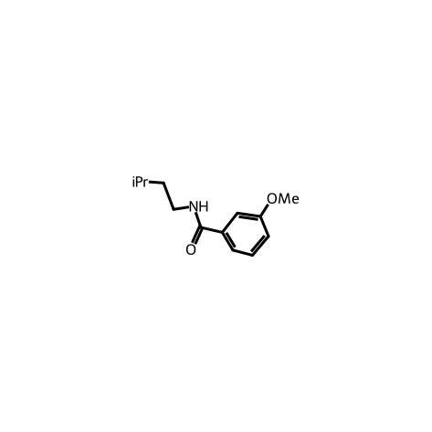 COc1cccc(C(=O)NCCC(C)C)c1